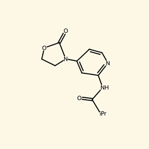 CC(C)C(=O)Nc1cc(N2CCOC2=O)ccn1